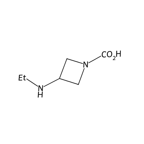 CCNC1CN(C(=O)O)C1